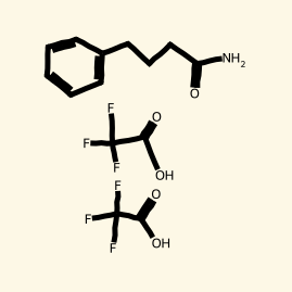 NC(=O)CCCc1ccccc1.O=C(O)C(F)(F)F.O=C(O)C(F)(F)F